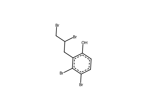 Oc1ccc(Br)c(Br)c1CC(Br)CBr